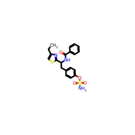 CCc1csc(C(Cc2ccc(OS(N)(=O)=O)cc2)NC(=O)c2ccccc2)n1